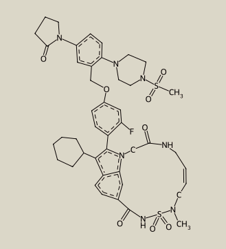 CN1CC=CCNC(=O)Cn2c(-c3ccc(OCc4cc(N5CCCC5=O)ccc4N4CCN(S(C)(=O)=O)CC4)cc3F)c(C3CCCCC3)c3ccc(cc32)C(=O)NS1(=O)=O